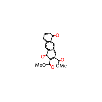 COC(=O)C1=C(C(=O)OC)C(=O)c2cc3c(cc2=C1)C(=O)C=CC=3